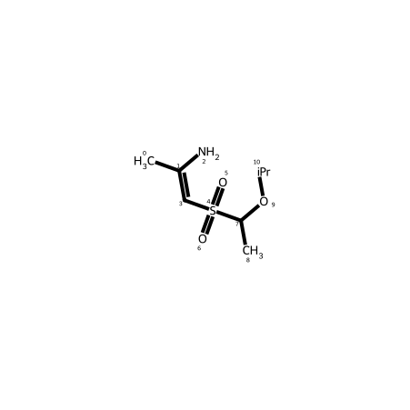 CC(N)=CS(=O)(=O)C(C)OC(C)C